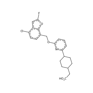 O=C(O)CC1CCC(c2cccc(OCc3ccc(Cl)c4cc(F)oc34)n2)CC1